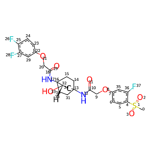 CS(=O)(=O)c1ccc(OCC(=O)NC23CCC(NC(=O)COc4ccc(F)c(F)c4)(CC2)[C@@H](O)C3)cc1F